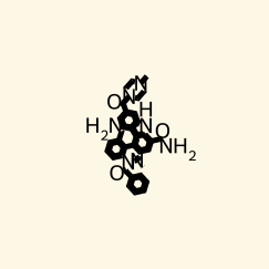 CN1CCN(C(=O)c2ccc3c(c2)[nH]c2c(C(N)=O)ccc(-c4c(CN)cccc4N(C(=O)c4ccccc4)N(C)C)c23)CC1